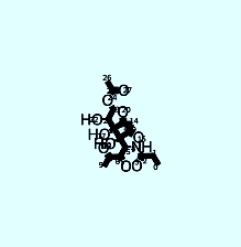 CCC(=O)N[C@H](C(=O)C(C)=O)[C@](O)(C(C)=O)[C@@](O)(C(C)=O)[C@H](O)COC(C)=O